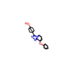 OC12CCC(c3nnc4c(Oc5ccccc5)cccn34)(CC1)CC2